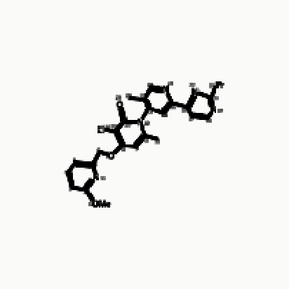 COc1cccc(COc2cc(C)n(-c3cc(-c4ccnc(C(C)C)n4)ncc3C)c(=O)c2Cl)n1